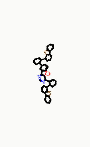 c1ccc(-c2cccc3c2sc2ccccc23)c(-c2ccc3oc4c(-c5ccccc5-c5cccc6c5sc5ccccc56)ncnc4c3c2)c1